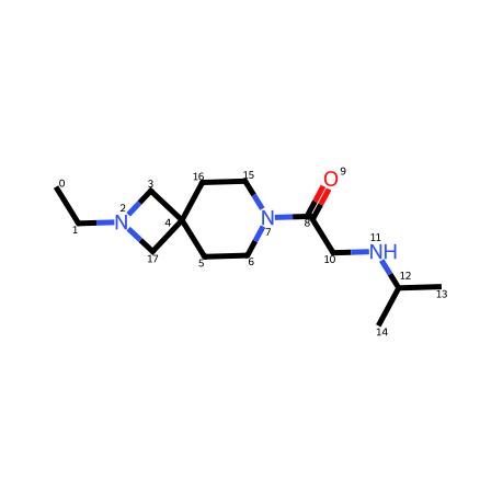 CCN1CC2(CCN(C(=O)CNC(C)C)CC2)C1